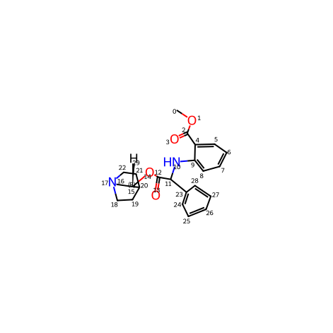 COC(=O)c1ccccc1NC(C(=O)O[C@H]1CN2CCC1CC2)c1ccccc1